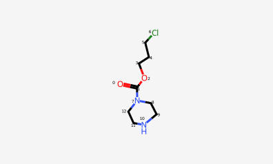 O=C(OCCCCl)N1CCNCC1